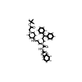 CC(C)(C)OC(=O)CN1CCC(NCCN(CCC(c2ccccc2)c2ccccc2)C(=O)Nc2nc3ccccc3s2)CC1